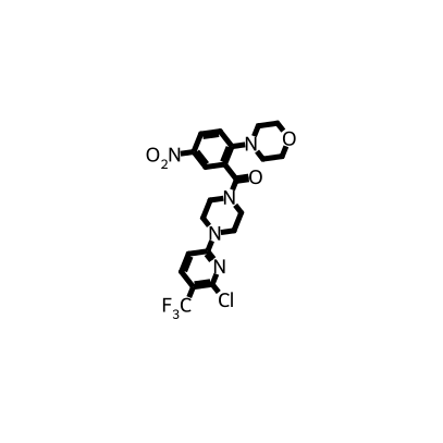 O=C(c1cc([N+](=O)[O-])ccc1N1CCOCC1)N1CCN(c2ccc(C(F)(F)F)c(Cl)n2)CC1